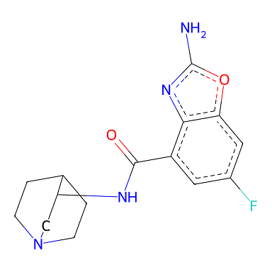 Nc1nc2c(C(=O)NC3CN4CCC3CC4)cc(F)cc2o1